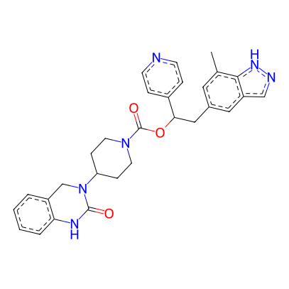 Cc1cc(CC(OC(=O)N2CCC(N3Cc4ccccc4NC3=O)CC2)c2ccncc2)cc2cn[nH]c12